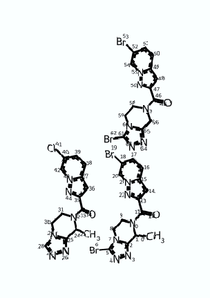 CC1c2nnc(Br)n2CCN1C(=O)c1cc2ccc(Br)cn2n1.CC1c2nncn2CCN1C(=O)c1cc2ccc(Cl)cn2n1.O=C(c1cc2ccc(Br)cn2n1)N1CCn2c(Br)nnc2C1